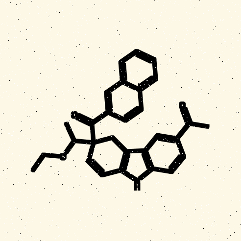 CCOC(C)C1(C(=O)c2ccc3ccccc3c2)C=Cc2[nH]c3ccc(C(C)=O)cc3c2C1